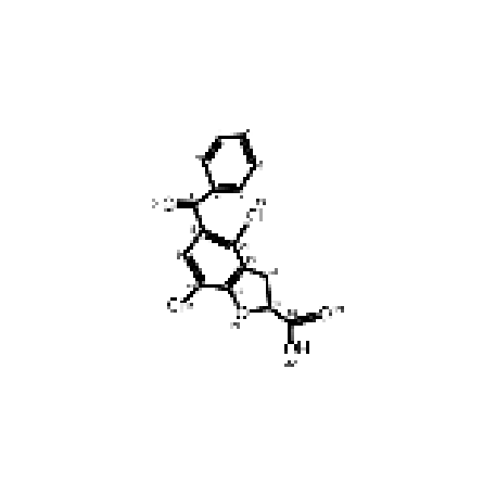 O=C(c1ccccc1)c1cc(Cl)c2c(c1Cl)CC(C(=O)O)O2